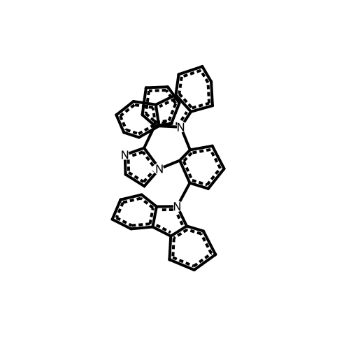 c1ccc(-c2nccn2-c2c(-n3c4ccccc4c4ccccc43)cccc2-n2c3ccccc3c3ccccc32)cc1